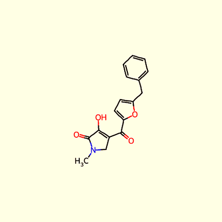 CN1CC(C(=O)c2ccc(Cc3ccccc3)o2)=C(O)C1=O